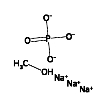 CO.O=P([O-])([O-])[O-].[Na+].[Na+].[Na+]